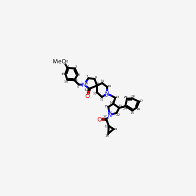 COc1ccc(CN2CCC3(CCN(CC4CN(C(=O)C5CC5)CC4c4ccccc4)CC3)C2=O)cc1